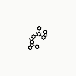 c1ccc(-c2nc(-c3ccc4oc5cc6c7ccccc7n(-c7ccccc7)c6cc5c4c3)nc(-c3cccc4sc5ccccc5c34)n2)cc1